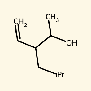 C=CC(CC(C)C)C(C)O